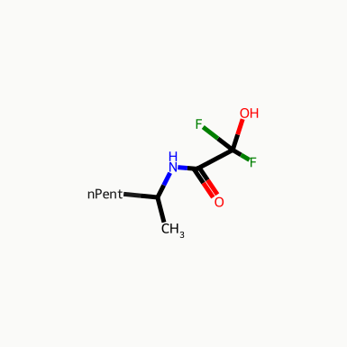 CCCCCC(C)NC(=O)C(O)(F)F